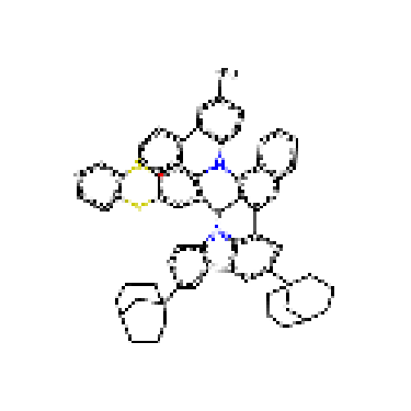 CC(C)(C)c1ccc(N2c3cc4c(cc3B3c5c(cc6ccccc6c52)-c2cc(C56CCCC(CCC5)C6)cc5c6cc(C78CCCC(CCC7)C8)ccc6n3c25)Sc2ccccc2S4)c(-c2ccccc2)c1